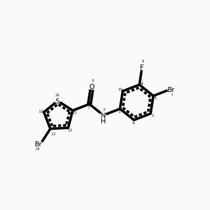 O=C(Nc1ccc(Br)c(F)c1)c1cc(Br)cs1